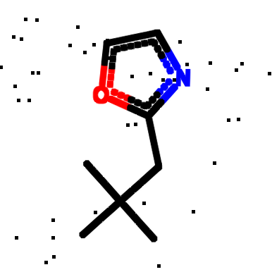 CC(C)(C)Cc1ncco1